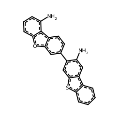 Nc1cc2c(cc1-c1ccc3c(c1)oc1cccc(N)c13)sc1ccccc12